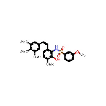 COc1ccc(/C=C\c2cc(OC)c(OC)c(OC)c2)c(NS(=O)(=O)c2cccc(OC(F)(F)F)c2)c1O